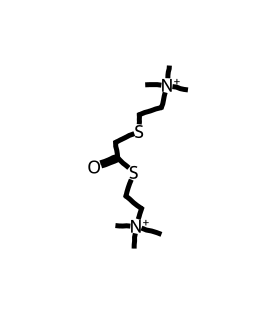 C[N+](C)(C)CCSCC(=O)SCC[N+](C)(C)C